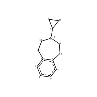 [c]1ccc2c(c1)CCN(C1CC1)CC2